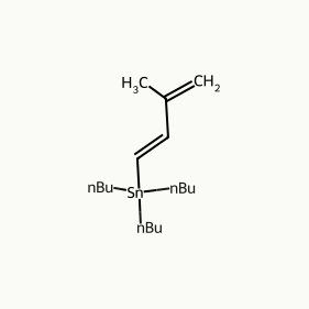 C=C(C)C=[CH][Sn]([CH2]CCC)([CH2]CCC)[CH2]CCC